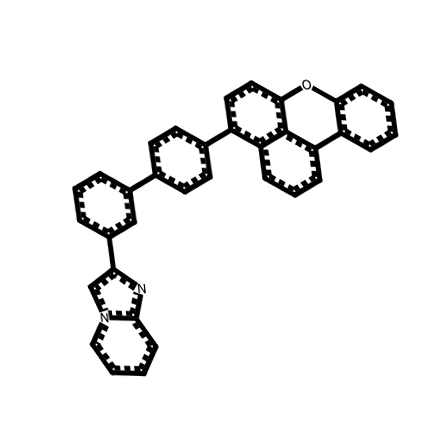 c1cc(-c2ccc(-c3ccc4c5c(cccc35)-c3ccccc3O4)cc2)cc(-c2cn3ccccc3n2)c1